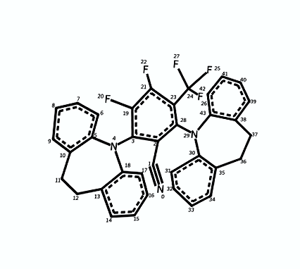 N#Cc1c(N2c3ccccc3CCc3ccccc32)c(F)c(F)c(C(F)(F)F)c1N1c2ccccc2CCc2ccccc21